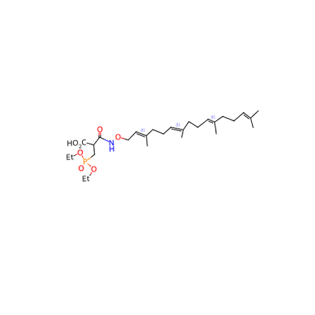 CCOP(=O)(CC(C(=O)O)C(=O)NOC/C=C(\C)CC/C=C(\C)CC/C=C(\C)CCC=C(C)C)OCC